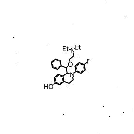 CCN(CC)CCOC(c1ccccc1)C1c2ccc(O)cc2CCN1c1ccc(F)cc1